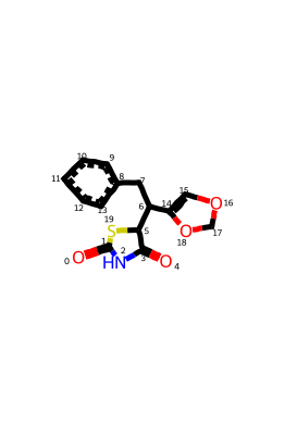 O=C1NC(=O)C(C(Cc2ccccc2)C2=COCO2)S1